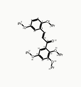 CC(C)Oc1ccc(OC(C)C)c(C=CC(=O)c2cc(OC(C)C)cc(OC(C)C)c2OC(C)C)c1